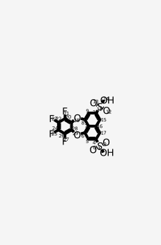 O=S(=O)(O)c1cc2c3c(cc(S(=O)(=O)O)cc3c1)Oc1c(F)c(F)c(F)c(F)c1O2